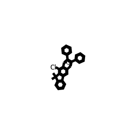 CC1(C)c2ccccc2-c2cc3c(c(Cl)c21)C1SC3C(c2ccccc2)=C1c1ccccc1